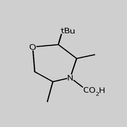 CC1COC(C(C)(C)C)C(C)N1C(=O)O